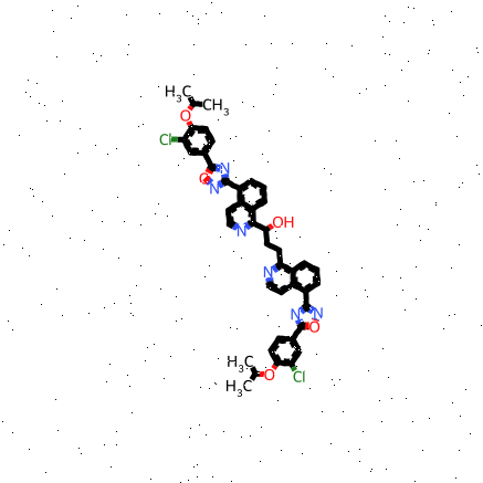 CC(C)Oc1ccc(-c2nc(-c3cccc4c(CCC(O)c5nccc6c(-c7noc(-c8ccc(OC(C)C)c(Cl)c8)n7)cccc56)nccc34)no2)cc1Cl